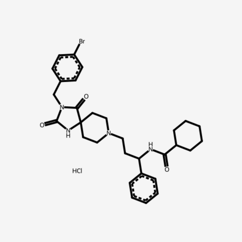 Cl.O=C(NC(CCN1CCC2(CC1)NC(=O)N(Cc1ccc(Br)cc1)C2=O)c1ccccc1)C1CCCCC1